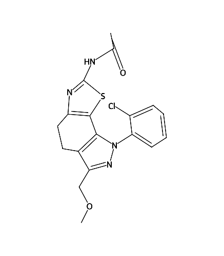 COCc1nn(-c2ccccc2Cl)c2c1CCc1nc(NC(C)=O)sc1-2